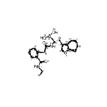 CCNC(=O)c1ccccc1CC(=O)N[C@@H](Cc1coc2ccccc12)B(O)O